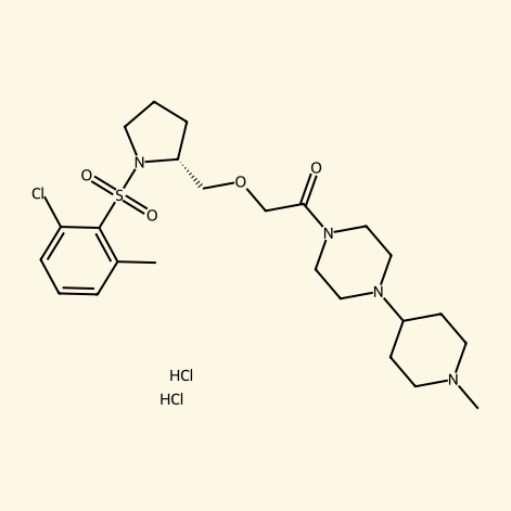 Cc1cccc(Cl)c1S(=O)(=O)N1CCC[C@@H]1COCC(=O)N1CCN(C2CCN(C)CC2)CC1.Cl.Cl